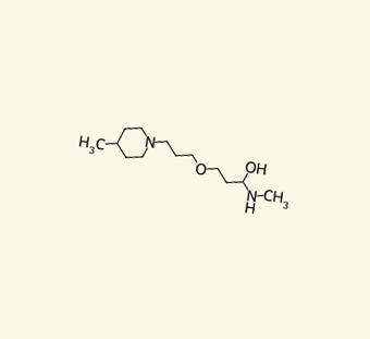 CNC(O)CCOCCCN1CCC(C)CC1